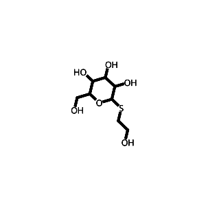 OCCSC1OC(CO)C(O)C(O)C1O